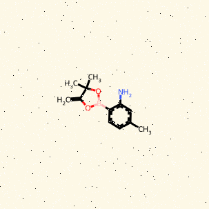 C=C1OB(c2ccc(C)cc2N)OC1(C)C